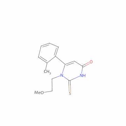 COCCn1c(-c2ccccc2C)cc(=O)[nH]c1=S